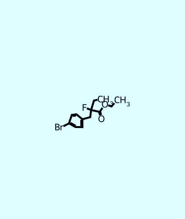 CCOC(=O)C(F)(CC)Cc1ccc(Br)cc1